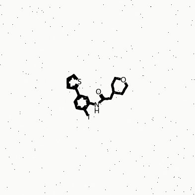 O=C(CC1CCOCC1)Nc1cc(-c2cccs2)ccc1I